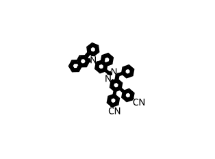 N#Cc1ccc(-c2cc3nc(-c4ccc(-n5c6ccccc6c6cc7ccccc7cc65)c5ccccc45)nc(-c4ccccc4)c3cc2-c2ccc(C#N)cc2)cc1